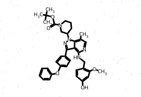 COc1cc(O)ccc1CNc1ncc(C)c2c1c(-c1ccc(Oc3ccccc3)cc1)nn2C1CCCN(C(=O)OC(C)(C)C)C1